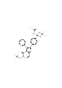 CC1(O)CC(NC(=O)O)(c2ccc(-c3sc4c(c3-c3ccccn3)C(=O)C(CC(F)(F)F)N=C4)cc2)C1